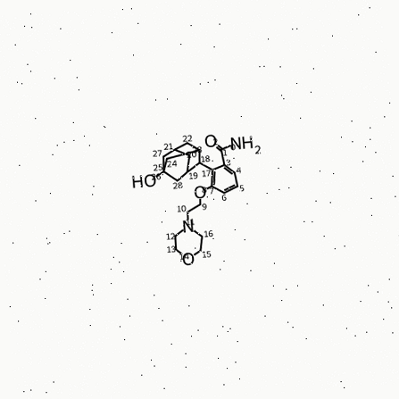 NC(=O)c1cccc(OCCN2CCOCC2)c1C1C2CC3CC1CC(O)(C3)C2